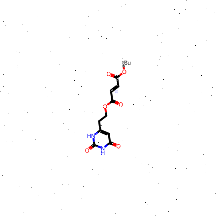 CC(C)(C)OC(=O)/C=C/C(=O)OCCc1cc(=O)[nH]c(=O)[nH]1